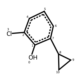 Oc1c(Cl)cccc1C1CC1